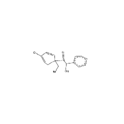 O=C(C(O)c1ccccc1)C1(CBr)C=CC(Cl)=CC1